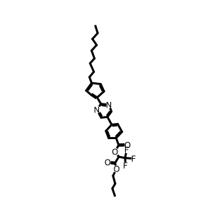 CCCCCCCCCc1ccc(-c2ncc(-c3ccc(C(=O)OC(C(=O)OCCCC)C(F)(F)F)cc3)cn2)cc1